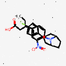 CCC(CC(=O)O)c1ccc(N2C3CCC2CC(c2ccc(F)cc2)C3)c([N+](=O)[O-])c1